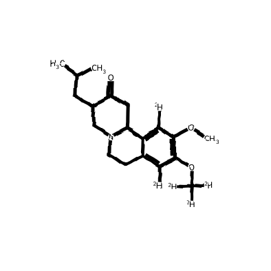 [2H]c1c2c(c([2H])c(OC)c1OC([2H])([2H])[2H])C1CC(=O)C(CC(C)C)CN1CC2